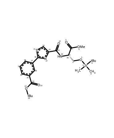 COC(=O)[C@H](CO[Si](C)(C)C(C)(C)C)NC(=O)c1csc(-c2cccc(C(=O)OC(C)(C)C)c2)n1